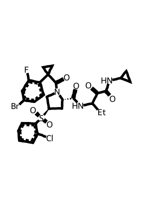 CCC(NC(=O)[C@@H]1C[C@@H](S(=O)(=O)c2ccccc2Cl)CN1C(=O)C1(c2ccc(Br)cc2F)CC1)C(=O)C(=O)NC1CC1